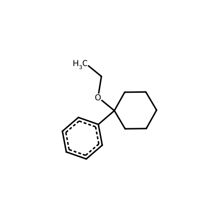 CCOC1(c2ccccc2)CCCCC1